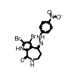 O=C1NCC/C(=N/Nc2ccc([N+](=O)[O-])cc2)c2c1[nH]c(Br)c2Br